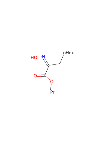 CCCCCCCC(=NO)C(=O)OC(C)C